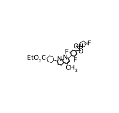 CCOC(=O)C1CCC(c2ccc3c(C)cc(-c4c(F)cc(S(=O)(=O)N5CC[C@H](F)C5)cc4F)nc3n2)CC1